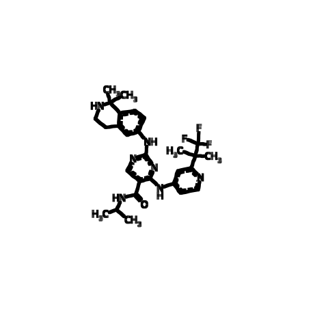 CC(C)NC(=O)c1cnc(Nc2ccc3c(c2)CCNC3(C)C)nc1Nc1ccnc(C(C)(C)C(F)(F)F)c1